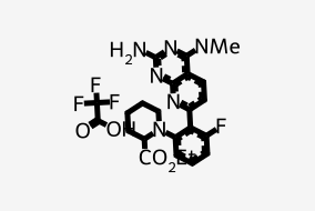 CCOC(=O)C1CCCCN1c1cccc(F)c1-c1ccc2c(NC)nc(N)nc2n1.O=C(O)C(F)(F)F